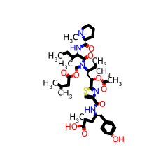 CCC(C)[C@H](NC(=O)[C@H]1CCCCN1C)C(=O)N(COC(=O)CC(C)C)[C@H](C[C@@H](OC(C)=O)c1nc(C(=O)N[C@@H](Cc2ccc(O)cc2)C[C@H](C)C(=O)O)cs1)C(C)C